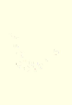 COc1nc(-c2ccnc(-c3cccc(NC(=O)c4nc5c(n4C)CCN(CCc4cnn(C(C)C)c4)C5)c3Cl)c2Cl)ccc1CNC[C@H]1CCC(=O)N1